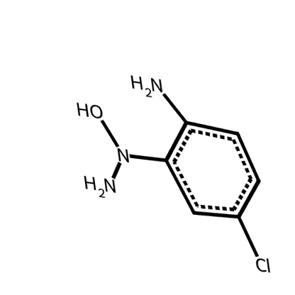 Nc1ccc(Cl)cc1N(N)O